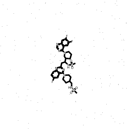 CS(=O)(=O)NCC1CCN(c2nc(CC(NS(C)(=O)=O)C3CCCN(c4ncnc5cc(F)c(F)cc45)C3)nc3ccc(F)cc23)CC1